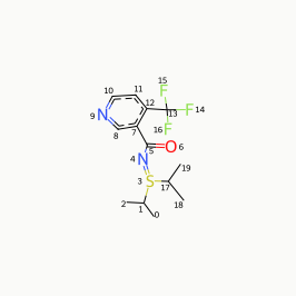 CC(C)S(=NC(=O)c1cnccc1C(F)(F)F)C(C)C